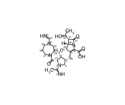 CC(=N)N1C[C@@H](SC2=C(C(=O)O)N3C(=O)[C@H](C(C)O)[C@H]3[C@H]2C)C[C@H]1C(=O)N1CCCN(C=N)CC1